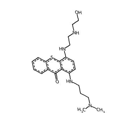 CN(C)CCCNc1ccc(NCCNCCO)c2sc3ccccc3c(=O)c12